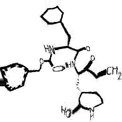 C=CC(=O)[C@H](C[C@@H]1CCNC1O)NC(=O)[C@H](CC1CCCCC1)NC(=O)OCc1ccccc1